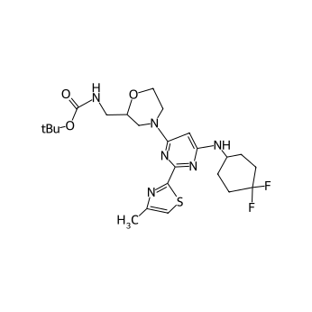 Cc1csc(-c2nc(NC3CCC(F)(F)CC3)cc(N3CCOC(CNC(=O)OC(C)(C)C)C3)n2)n1